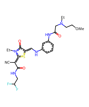 CCN(CCOC)CC(=O)Nc1cccc(NC=c2sc(=C(C#N)C(=O)NCC(F)F)n(CC)c2=O)c1